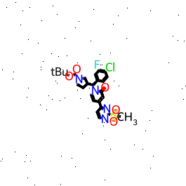 CC(C)(C)OC(=O)N1CCC(C(c2ccc(Cl)c(F)c2)n2ccc(-c3ccnc(S(C)(=O)=O)n3)cc2=O)C1